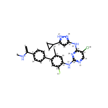 C=C(NC)c1ccc(-c2cc(F)c(Nc3ncc(Cl)c(Nc4cc(C5CC5)[nH]n4)n3)cc2C)cc1